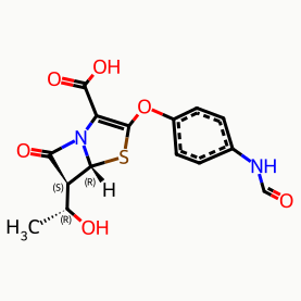 C[C@@H](O)[C@H]1C(=O)N2C(C(=O)O)=C(Oc3ccc(NC=O)cc3)S[C@H]12